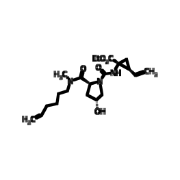 C=CCCCCN(C)C(=O)[C@@H]1C[C@@H](O)CN1C(=O)N[C@]1(C(=O)OCC)C[C@H]1C=C